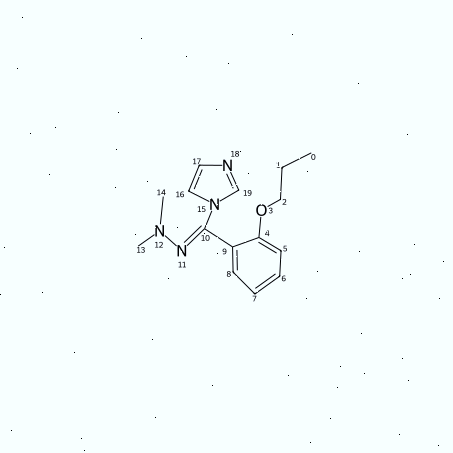 CCCOc1ccccc1/C(=N/N(C)C)n1ccnc1